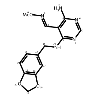 CO/N=C/c1c(N)ncnc1NCc1ccc2c(c1)OCO2